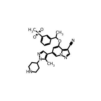 Cc1c(-c2cc(OC(C)c3cccc(S(C)(=O)=O)c3)c3c(C#N)cnn3c2)cnn1C1CCNCC1